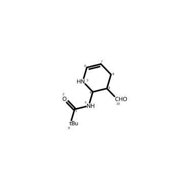 CC(C)(C)C(=O)NC1NC=CCC1C=O